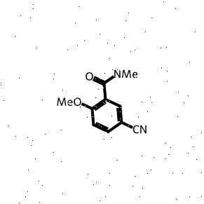 CNC(=O)c1cc(C#N)ccc1OC